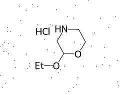 CCOC1CNCCO1.Cl